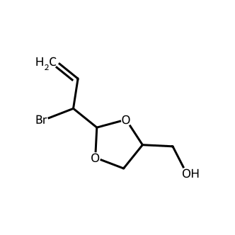 C=CC(Br)C1OCC(CO)O1